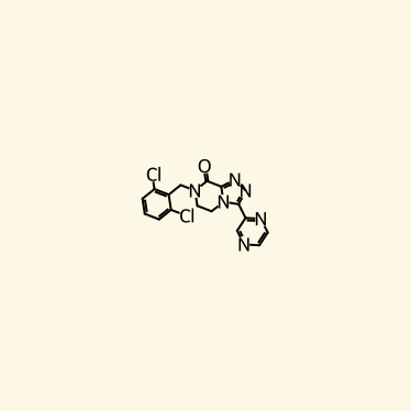 O=C1c2nnc(-c3cnccn3)n2CCN1Cc1c(Cl)cccc1Cl